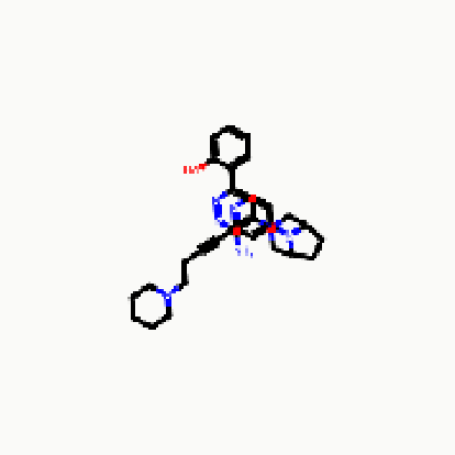 Nc1nnc(-c2ccccc2O)cc1N1CC2CCC(C1)N2c1ccnc(C#CCCN2CCCCC2)c1